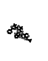 CCC(NC(=O)[C@@H]1[C@H]2CCC[C@H]2CN1C(=O)[C@@H](NC(=O)[C@@H](NC(=O)c1cnccn1)C(C)(C)C)C(C)(C)C)C(=O)C(=O)NC1CC1